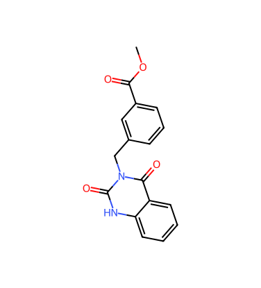 COC(=O)c1cccc(Cn2c(=O)[nH]c3ccccc3c2=O)c1